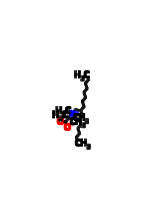 CCCCCCCCC(CCCCCCC)C[N+](C)(C)C(C)(C)C(=O)[O-]